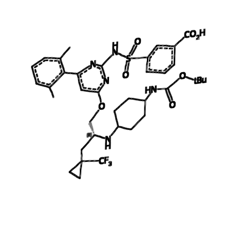 Cc1cccc(C)c1-c1cc(OC[C@@H](CC2(C(F)(F)F)CC2)NC2CCC(NC(=O)OC(C)(C)C)CC2)nc(NS(=O)(=O)c2cccc(C(=O)O)c2)n1